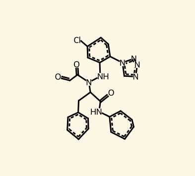 O=CC(=O)N(Nc1cc(Cl)ccc1-n1cnnn1)C(Cc1ccccc1)C(=O)Nc1ccccc1